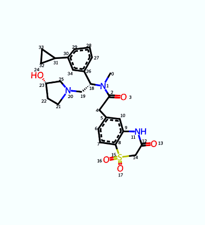 CN(C(=O)Cc1ccc2c(c1)NC(=O)CS2(=O)=O)[C@H](CN1CC[C@H](O)C1)c1cccc(C2CC2)c1